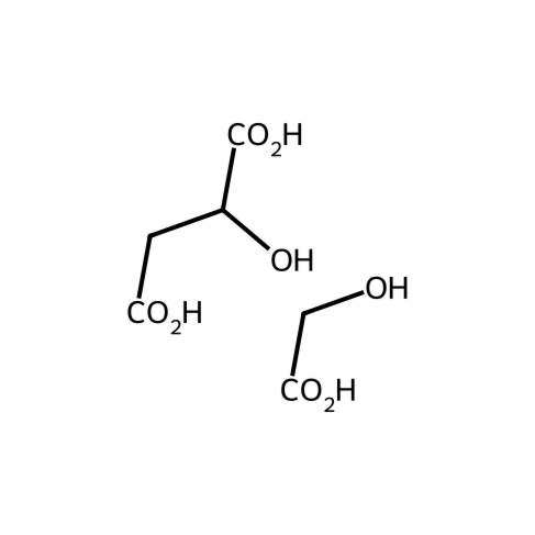 O=C(O)CC(O)C(=O)O.O=C(O)CO